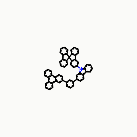 c1cc(-c2ccc3c4ccccc4c4ccccc4c3c2)cc(-c2ccc3c4ccccc4n(-c4ccc5c(c4)-c4ccccc4C54c5ccccc5-c5ccccc54)c3c2)c1